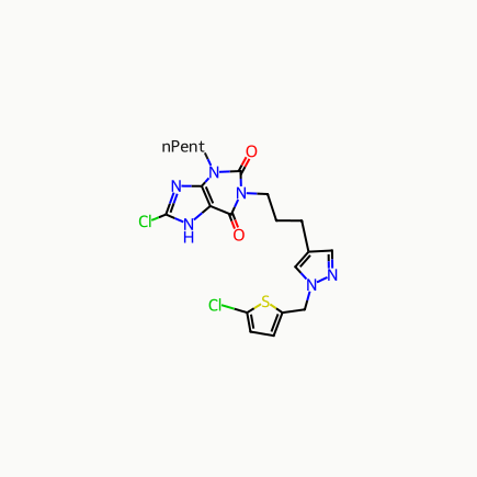 CCCCCn1c(=O)n(CCCc2cnn(Cc3ccc(Cl)s3)c2)c(=O)c2[nH]c(Cl)nc21